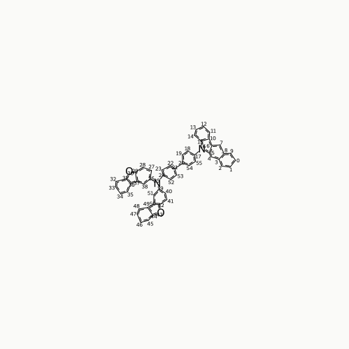 c1ccc2cc3c(cc2c1)c1ccccc1n3-c1ccc(-c2ccc(N(c3ccc4oc5ccccc5c4c3)c3ccc4oc5ccccc5c4c3)cc2)cc1